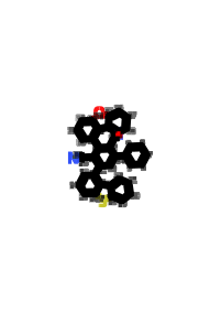 N#Cc1c(-c2ccccc2)cc(-c2cccc3sc4ccccc4c23)c(C#N)c1-c1cccc2oc3ccccc3c12